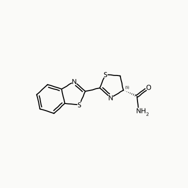 NC(=O)[C@H]1CSC(c2nc3ccccc3s2)=N1